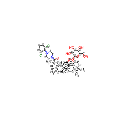 CC1(C(=O)N2CCN(c3c(Cl)cccc3Cl)CC2)CC[C@]2(C)CC[C@]3(C)C(=CC(=O)C4[C@@]5(C)C(O[C@@H]6O[C@H](CO)[C@@H](O)[C@@H](O)[C@H]6O)CCC(C)(C)C5CC[C@]43C)[C@@H]2C1